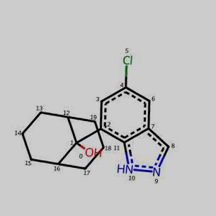 OC1(c2cc(Cl)cc3cn[nH]c23)C2CCCC1CCC2